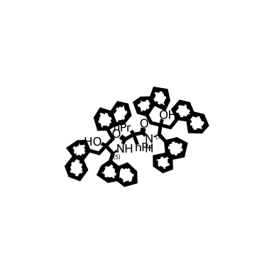 CCCC(CCC)(C(=O)N[C@@H](c1cccc2ccccc12)C(O)(Cc1cccc2ccccc12)Cc1cccc2ccccc12)C(=O)N[C@@H](c1cccc2ccccc12)C(O)(Cc1cccc2ccccc12)Cc1cccc2ccccc12